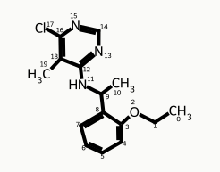 CCOc1ccccc1C(C)Nc1ncnc(Cl)c1C